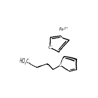 O=C(O)CCC[c-]1cccc1.[Fe+2].c1cc[cH-]c1